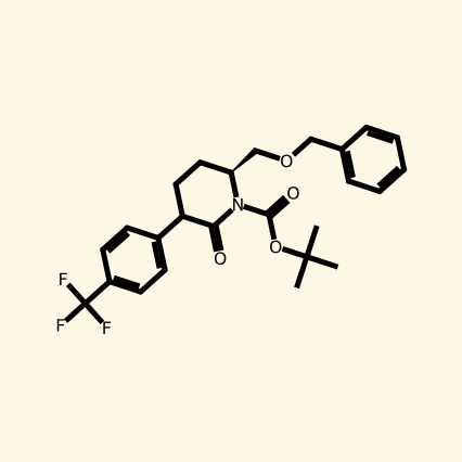 CC(C)(C)OC(=O)N1C(=O)C(c2ccc(C(F)(F)F)cc2)CC[C@H]1COCc1ccccc1